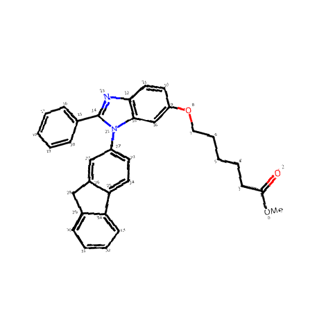 COC(=O)CCCCCOc1ccc2nc(-c3ccccc3)n(-c3ccc4c(c3)Cc3ccccc3-4)c2c1